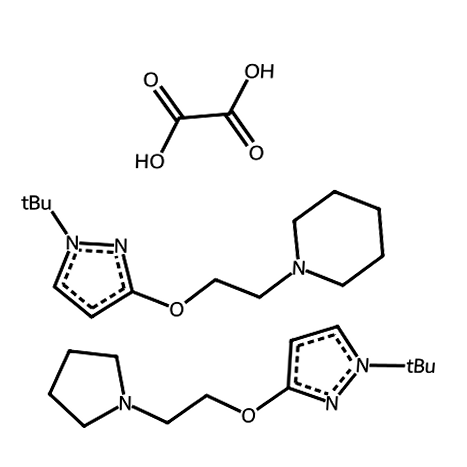 CC(C)(C)n1ccc(OCCN2CCCC2)n1.CC(C)(C)n1ccc(OCCN2CCCCC2)n1.O=C(O)C(=O)O